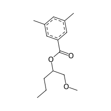 CCCC(COC)OC(=O)c1cc(C)cc(C)c1